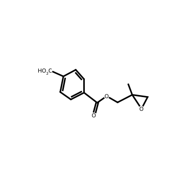 CC1(COC(=O)c2ccc(C(=O)O)cc2)CO1